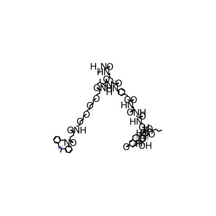 CCCC1O[C@@H]2C[C@H]3[C@@H]4CCC5=CC(=O)C=C[C@]5(C)[C@H]4[C@@H](O)C[C@]3(C)[C@]2(C(=O)COCNC(=O)CNC(=O)CNC(=O)OCc2ccc(NC(=O)[C@H](CCCNC(N)=O)NC(=O)[C@@H](NC(=O)CCOCCOCCOCCOCCNC(=O)CCC(=O)N3Cc4ccccc4/C=C(/C)c4ccccc43)C(C)C)cc2)O1